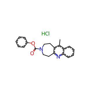 Cc1c2c(nc3ccccc13)CCN(C(=O)Oc1ccccc1)CC2.Cl